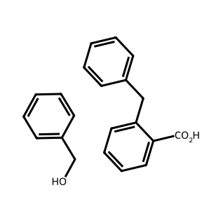 O=C(O)c1ccccc1Cc1ccccc1.OCc1ccccc1